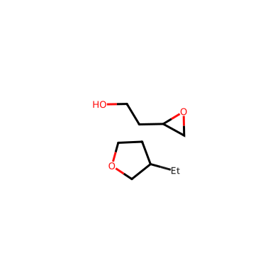 CCC1CCOC1.OCCC1CO1